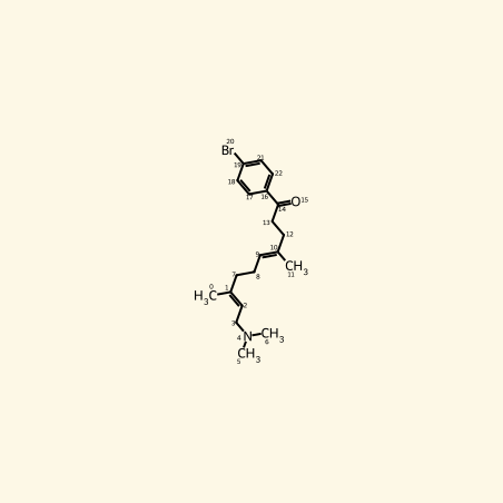 CC(=CCN(C)C)CCC=C(C)CCC(=O)c1ccc(Br)cc1